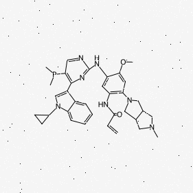 C=CC(=O)Nc1cc(Nc2ncc(P(C)C)c(-c3cn(C4CC4)c4ccccc34)n2)c(OC)cc1N1CC2CN(C)CC2C1